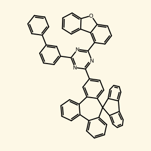 c1ccc(-c2cccc(-c3nc(-c4ccc5c(c4)-c4ccccc4-c4ccccc4C54c5ccccc5-c5ccccc54)nc(-c4cccc5oc6ccccc6c45)n3)c2)cc1